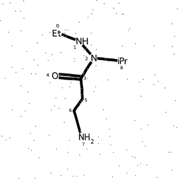 CCNN(C(=O)CCN)C(C)C